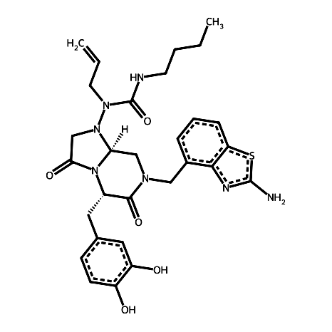 C=CCN(C(=O)NCCCC)N1CC(=O)N2[C@@H](Cc3ccc(O)c(O)c3)C(=O)N(Cc3cccc4sc(N)nc34)C[C@@H]21